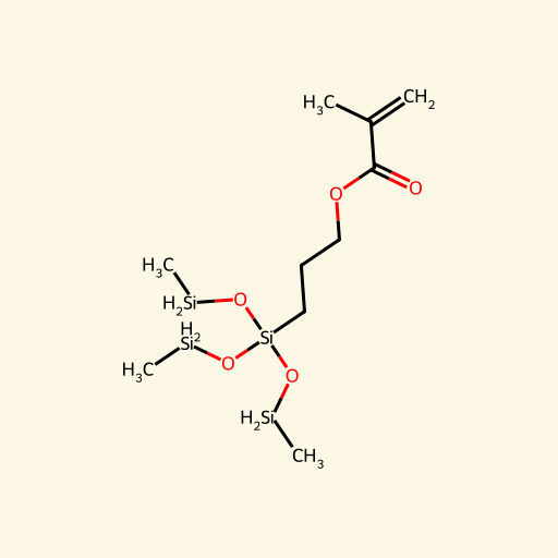 C=C(C)C(=O)OCCC[Si](O[SiH2]C)(O[SiH2]C)O[SiH2]C